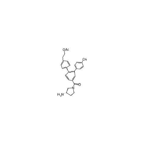 CC(=O)OCCc1ccc(-c2ccc(C(=O)N3CC[C@H](N)C3)cc2-c2ccc(C#N)cc2)cc1